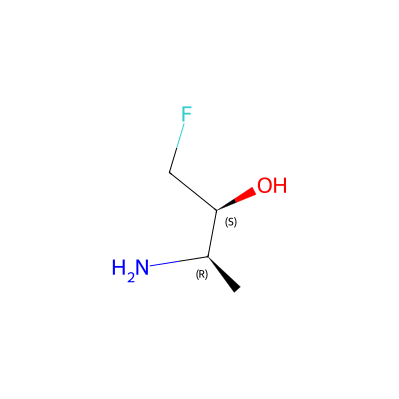 C[C@@H](N)[C@H](O)CF